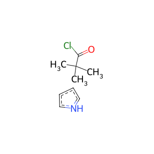 CC(C)(C)C(=O)Cl.c1cc[nH]c1